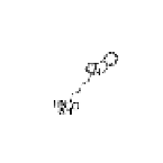 O=C(CCCCc1ccc2n1Cc1ccccc1-2)NO